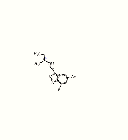 C/C=C(\C)NCSc1nnc2c(F)cc(C(C)=O)cn12